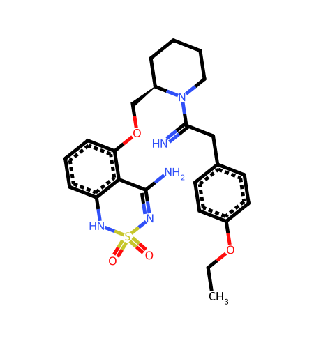 CCOc1ccc(CC(=N)N2CCCC[C@@H]2COc2cccc3c2C(N)=NS(=O)(=O)N3)cc1